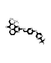 CCC1C(=O)N2CCCc3nc(NCc4ccc(Oc5cnc(C(F)(F)F)nc5)nc4)nc(c32)N1C